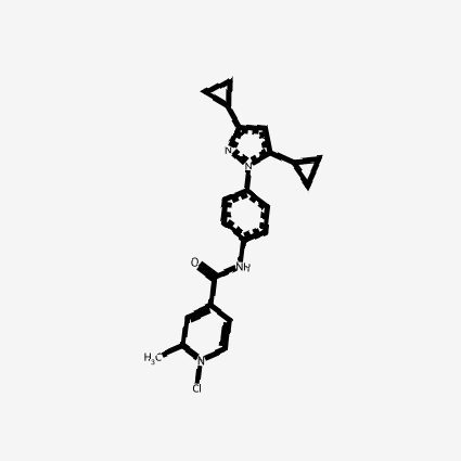 CC1C=C(C(=O)Nc2ccc(-n3nc(C4CC4)cc3C3CC3)cc2)C=CN1Cl